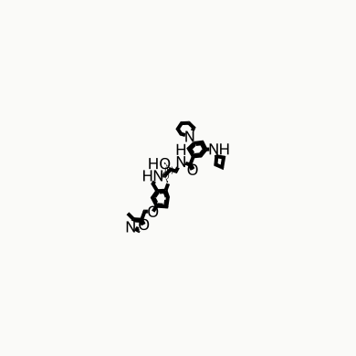 Cc1ncoc1COc1ccc2c(c1)CN[C@H]([C@H](O)CNC(=O)c1cc(NC3CCC3)cc(N3CCCCC3)c1)C2